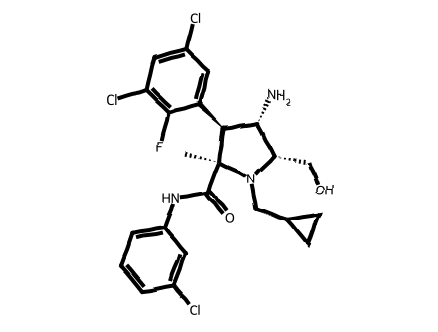 C[C@]1(C(=O)Nc2cccc(Cl)c2)[C@@H](c2cc(Cl)cc(Cl)c2F)[C@H](N)[C@H](CO)N1CC1CC1